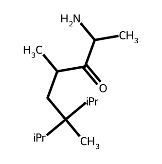 CC(N)C(=O)C(C)CC(C)(C(C)C)C(C)C